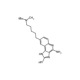 CCCc1nc2c(N)nc3ccc(CCCCCN(C)C(C)(C)C)cc3c2[nH]1